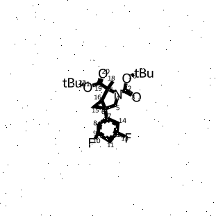 CC(C)(C)OC(=O)N1CC2(c3cc(F)cc(F)c3)CC2C1(C)C(=O)OC(C)(C)C